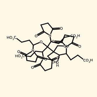 O=C(O)CCC(OC(C(CCC(=O)O)N1C(=O)CCC1=O)(C(CCC(=O)O)N1C(=O)CCC1=O)C(CO)(CO)C(O)C(CCC(=O)O)N1C(=O)CCC1=O)N1C(=O)CCC1=O